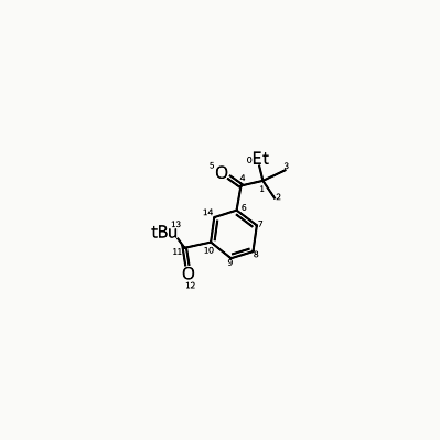 CCC(C)(C)C(=O)c1cccc(C(=O)C(C)(C)C)c1